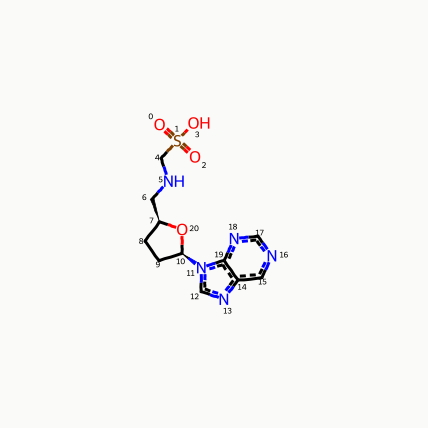 O=S(=O)(O)CNC[C@@H]1CC[C@H](n2cnc3cncnc32)O1